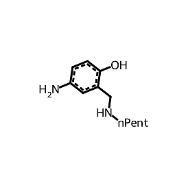 CCCCCNCc1cc(N)ccc1O